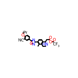 Cc1c(-c2noc(-c3ccc(OC(C)C)c(C#N)c3)n2)ccc2c1CCNC2CC(=O)OC(=O)C(F)(F)F